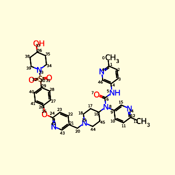 Cc1ccc(NC(=O)N(c2ccc(C)nc2)C2CCN(Cc3ccc(Oc4ccc(S(=O)(=O)N5CCC(O)CC5)cc4)nc3)CC2)cn1